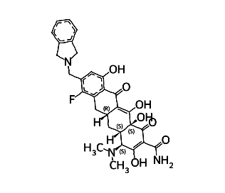 CN(C)[C@@H]1C(O)=C(C(N)=O)C(=O)[C@@]2(O)C(O)=C3C(=O)c4c(O)cc(CN5Cc6ccccc6C5)c(F)c4C[C@H]3C[C@@H]12